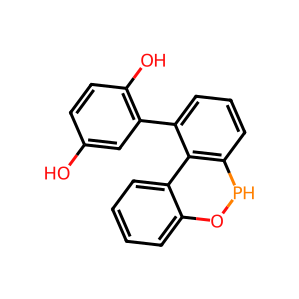 Oc1ccc(O)c(-c2cccc3c2-c2ccccc2OP3)c1